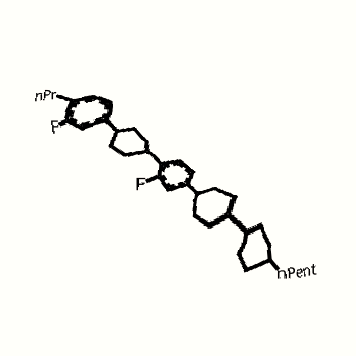 CCCCCC1CCC(C2CCC(c3ccc(C4CCC(c5ccc(CCC)c(F)c5)CC4)c(F)c3)CC2)CC1